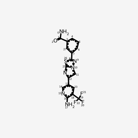 NC(=O)c1cccc(-c2nn3cc(-c4cnc(N)c(C(F)(F)F)c4)nc3s2)c1